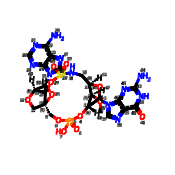 CO[C@H]1[C@H]2OP(=O)(O)OC[C@@]34CO[C@@H]([C@H](n5cnc6c(N)ncnc65)O3)[C@@H]4OS(=O)(=O)NC[C@H]1O[C@H]2n1cnc2c(=O)[nH]c(N)nc21